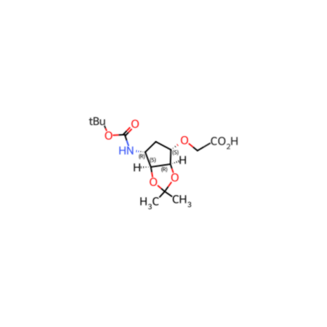 CC(C)(C)OC(=O)N[C@@H]1C[C@H](OCC(=O)O)[C@H]2OC(C)(C)O[C@H]21